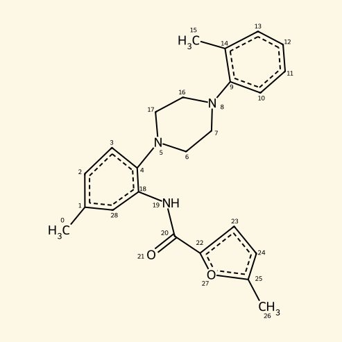 Cc1ccc(N2CCN(c3ccccc3C)CC2)c(NC(=O)c2ccc(C)o2)c1